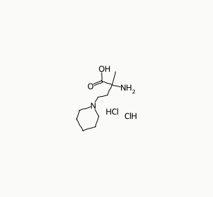 CC(N)(CCN1CCCCC1)C(=O)O.Cl.Cl